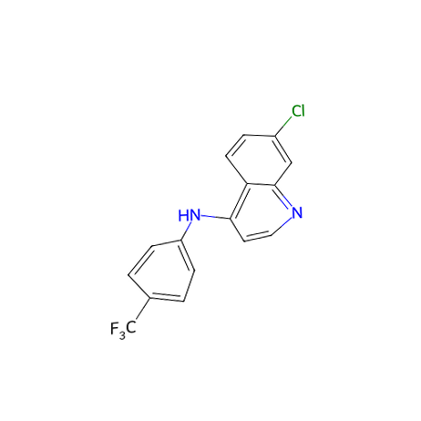 FC(F)(F)c1ccc(Nc2ccnc3cc(Cl)ccc23)cc1